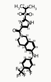 CC(C)S(=O)(=O)c1nc(C(=O)N2CCc3cc(Nc4ccc(C(F)(F)F)c(F)c4)ccc3C2)c[nH]1